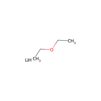 CCOCC.[LiH]